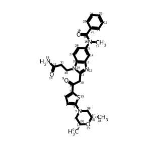 C[C@@H]1CN(c2ccc(C(=O)Cc3nc4cc(N(C)C(=O)c5ccccc5)ccc4n3CCC(N)=O)s2)C[C@H](C)O1